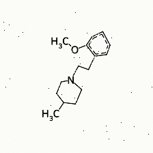 COc1ccccc1CCN1CCC(C)CC1